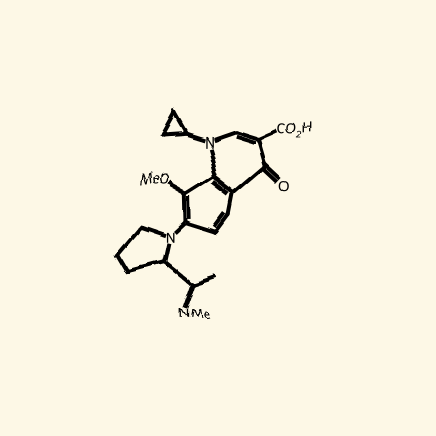 CNC(C)C1CCCN1c1ccc2c(=O)c(C(=O)O)cn(C3CC3)c2c1OC